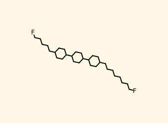 FCCCCCCCCC1CCC(C2CCC(C3CCC(CCCCCF)CC3)CC2)CC1